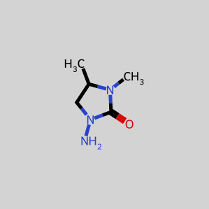 CC1CN(N)C(=O)N1C